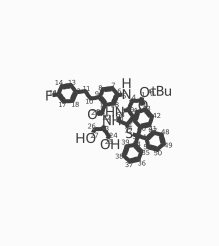 CC(C)(C)OC(=O)C(Nc1ccc(CCc2ccc(F)cc2)c(C(=O)NC(CO)CO)c1)C1CC(SC(c2ccccc2)(c2ccccc2)c2ccccc2)CN1